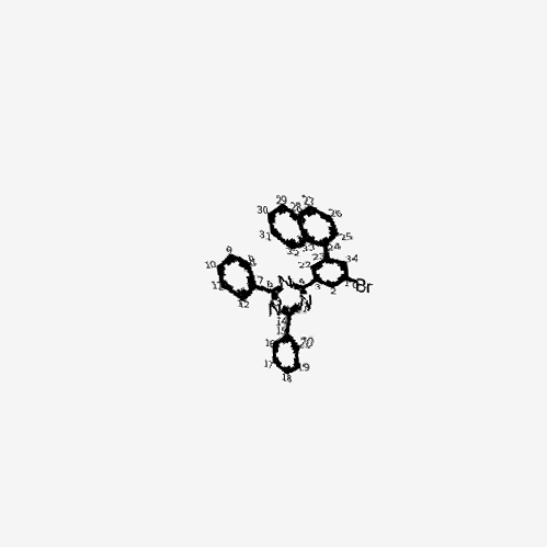 Brc1cc(-c2nc(-c3ccccc3)nc(-c3ccccc3)n2)cc(-c2cccc3ccccc23)c1